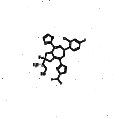 C[C@@H](CO)C1(F)CC2=C(c3ccn(C(F)F)n3)C=C(c3ccc(F)cc3Cl)N=C(c3nccs3)N2C1